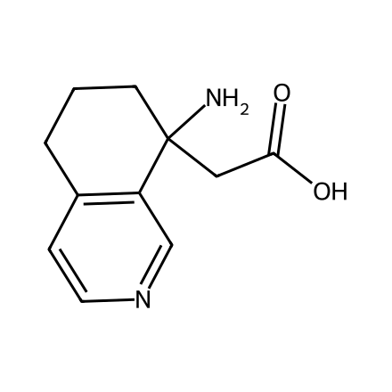 NC1(CC(=O)O)CCCc2ccncc21